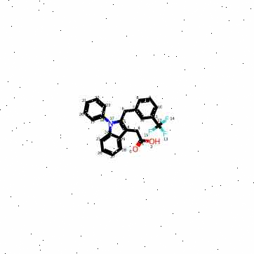 O=C(O)Cc1c(Cc2cccc(C(F)(F)F)c2)n(-c2ccccc2)c2ccccc12